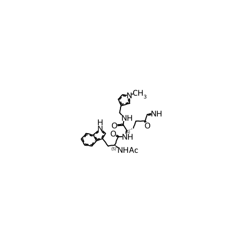 CC(=O)N[C@@H](Cc1c[nH]c2ccccc12)C(=O)N[C@@H](CCC(=O)C=N)C(=O)NCc1ccn(C)c1